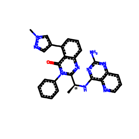 C[C@H](Nc1nc(N)nc2cccnc12)c1nc2cccc(-c3cnn(C)c3)c2c(=O)n1-c1ccccc1